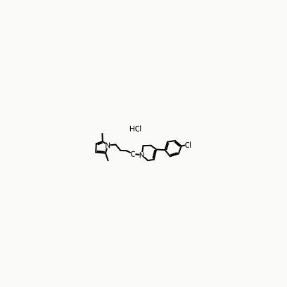 Cc1ccc(C)n1CCCCN1CC=C(c2ccc(Cl)cc2)CC1.Cl